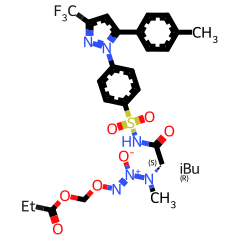 CCC(=O)OCON=[N+]([O-])N(C)[C@H](C(=O)NS(=O)(=O)c1ccc(-n2nc(C(F)(F)F)cc2-c2ccc(C)cc2)cc1)[C@H](C)CC